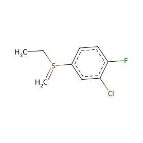 C=S(CC)c1ccc(F)c(Cl)c1